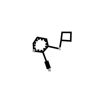 N#Cc1ncccc1SC1CCC1